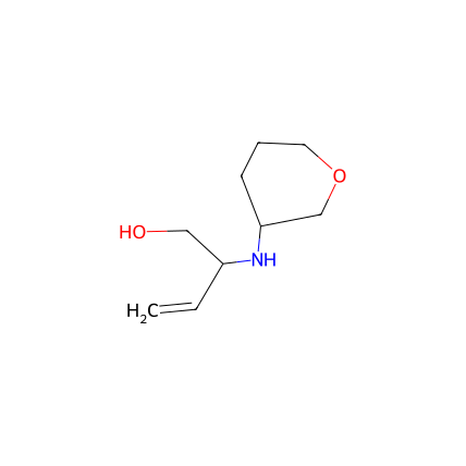 C=CC(CO)NC1CCCOC1